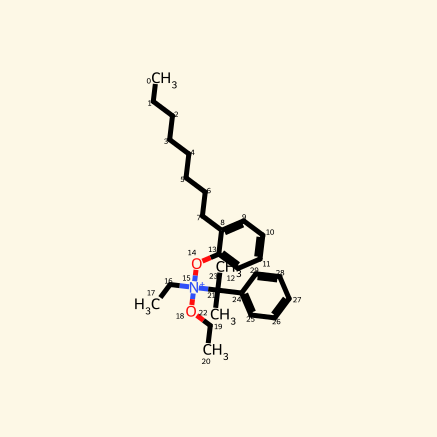 CCCCCCCCc1ccccc1O[N+](CC)(OCC)C(C)(C)c1ccccc1